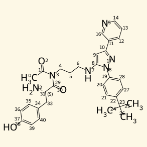 CC(=O)N(CCCNc1cc(-c2cccnc2)nn1-c1ccc(C(C)(C)C)cc1)C(=O)[C@@H](N)Cc1ccc(O)cc1